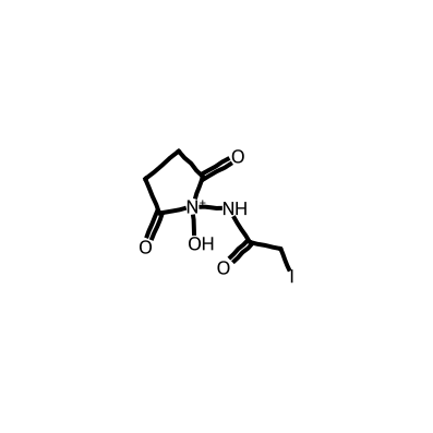 O=C(CI)N[N+]1(O)C(=O)CCC1=O